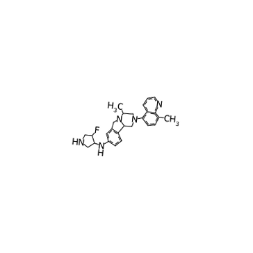 Cc1ccc(N2CC(C)N3Cc4cc(NC5CNCC5F)ccc4C3C2)c2cccnc12